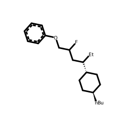 CCCC[C@H]1CC[C@H](C(CC)CC(F)COc2ccccc2)CC1